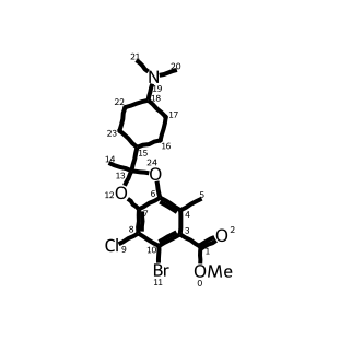 COC(=O)c1c(C)c2c(c(Cl)c1Br)OC(C)(C1CCC(N(C)C)CC1)O2